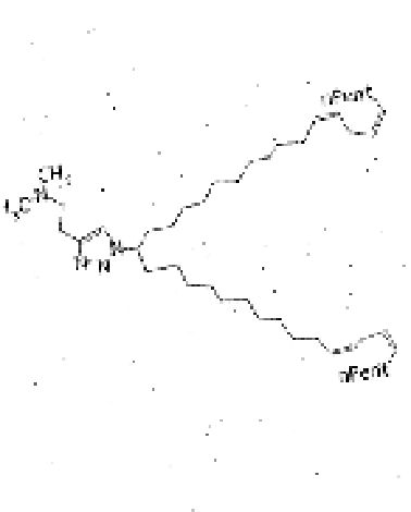 CCCCC/C=C\C/C=C\CCCCCCCCCCC(CCCCCCCCCC/C=C\C/C=C\CCCCC)n1cc(CCN(C)C)nn1